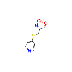 O=[C]C(CSc1ccncc1)=NO